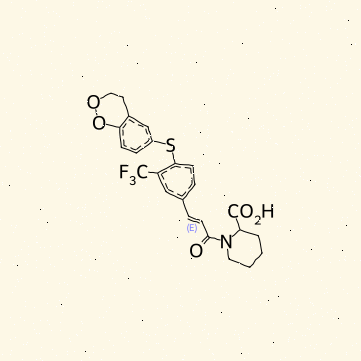 O=C(O)C1CCCCN1C(=O)/C=C/c1ccc(Sc2ccc3c(c2)CCOO3)c(C(F)(F)F)c1